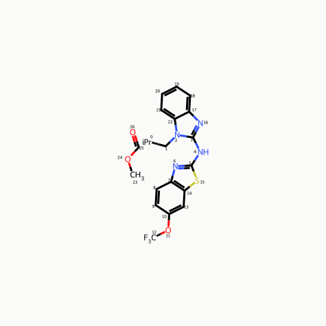 CC(C)Cn1c(Nc2nc3ccc(OC(F)(F)F)cc3s2)nc2ccccc21.COC=O